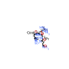 CC(C)C[C@H](NC(=O)[C@@H](N)CCC(N)=O)C(=O)N[C@@H](CCCNC(=N)N)C(=O)N[C@H]([C]=O)Cc1c[nH]cn1